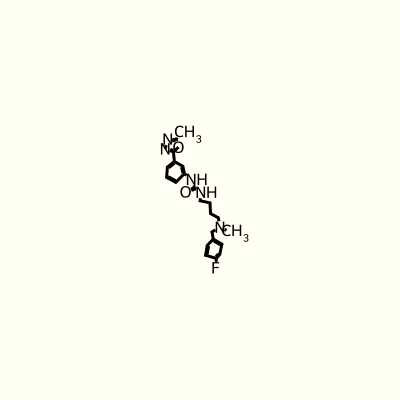 Cc1nnc(-c2cccc(NC(=O)NCCCCN(C)Cc3ccc(F)cc3)c2)o1